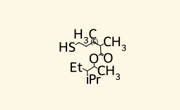 CCC(C(C)C)C(C)OC(=O)C(C)[C@@H](C)CCS